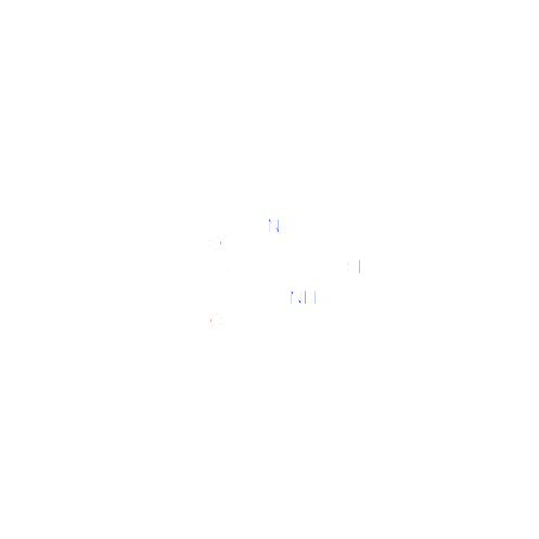 CC(=O)C(=O)c1c[nH]c2c(Cl)ccnc12